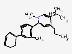 CCCC1=CC(c2ccc(C3=CC=CCC3)cc2C)N(C)C=C1[SiH](C)C